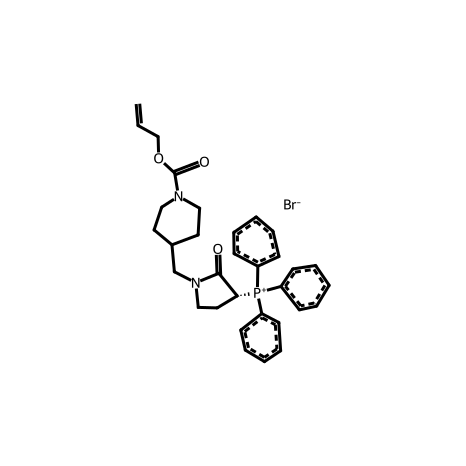 C=CCOC(=O)N1CCC(CN2CC[C@@H]([P+](c3ccccc3)(c3ccccc3)c3ccccc3)C2=O)CC1.[Br-]